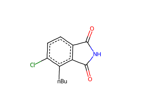 CCCCc1c(Cl)ccc2c1C(=O)NC2=O